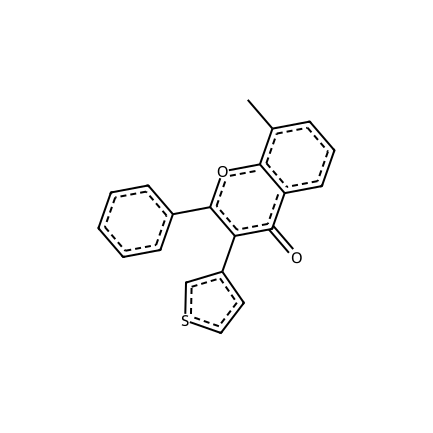 Cc1cccc2c(=O)c(-c3ccsc3)c(-c3ccccc3)oc12